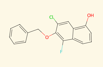 Oc1cccc2c(F)c(OCc3ccccc3)c(Cl)cc12